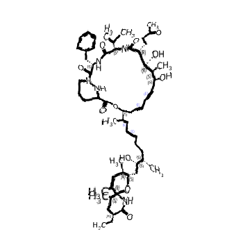 CC[C@H]1C[C@H](C)[C@@]2(NC1=O)O[C@@H](C[C@H](O)[C@@H](C)CC/C=C/C=C(\C)[C@@H]1C/C=C/C=C/[C@H](O)[C@H](C)[C@@H](O)[C@@H](CCC(C)=O)C(=O)N[C@@H](C(C)C)C(=O)N[C@@H](Cc3ccccc3)C(=O)N3CCCC(N3)C(=O)O1)[C@H](C)C=C2C